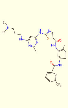 CCN(CC)CCCNc1cc(Nc2ncc(C(=O)Nc3cc(NC(=O)c4cccc(C(F)(F)F)c4)ccc3C)s2)nc(C)n1